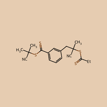 CCC(=S)SC(C)(C#N)Cc1cccc(C(=S)SC(C)(C)C#N)c1